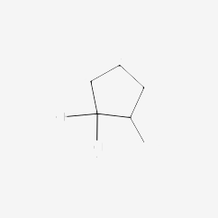 [CH2]CCC1CCCC1(Cl)Cl